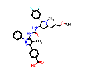 COCCC[C@@H]1C[C@@H](NC(=O)Nc2c(C)c(-c3ccc(C(=O)O)cc3)nn2-c2ccccc2)[C@H](c2ccc(F)c(F)c2)N1C